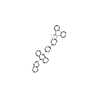 c1ccc2c(c1)C1=Nc3cc(-c4ccc(-c5c6ccccc6c(-c6ccc7ccccc7c6)c6ccccc56)cc4)ccc3C1c1ccccc1-2